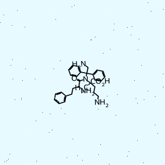 C[C@](CCCN)(C(=O)O)N(C(=O)[C@@H](N)CCc1ccccc1)C(CN)(c1ccccc1)c1ccccc1